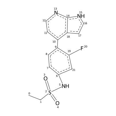 CCS(=O)(=O)Nc1ccc(-c2ccnc3[nH]ccc23)c(F)c1